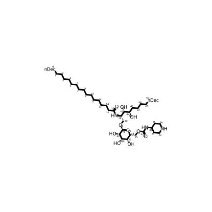 CCCCCCCCCCCCCCCCCCCCCCCCCC(=O)N[C@@H](CO[C@H]1O[C@H](COC(=O)NC2CCNCC2)[C@H](O)[C@H](O)[C@H]1O)[C@H](O)[C@H](O)CCCCCCCCCCCCCC